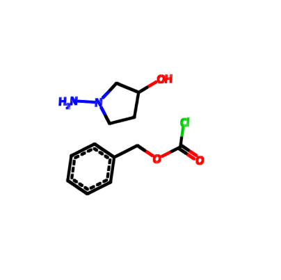 NN1CCC(O)C1.O=C(Cl)OCc1ccccc1